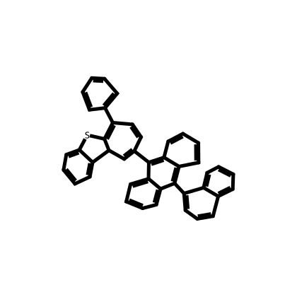 C1=CC(c2ccccc2)=C2Sc3ccccc3C2C=C1c1c2ccccc2c(-c2cccc3ccccc23)c2ccccc12